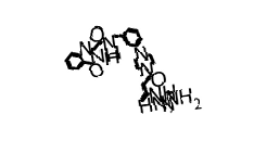 C=C(CC(=O)N1CCN(c2cccc(CNC(=O)c3nc4ccccc4c(=O)[nH]3)c2)CC1)NNN(C)N